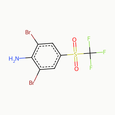 Nc1c(Br)cc(S(=O)(=O)C(F)(F)F)cc1Br